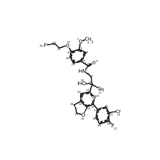 COc1cc(C(=O)NCC(O)(S)c2cc3c(c(-c4ccc(F)c(Cl)c4)n2)OCC3)ccc1OCCF